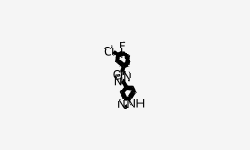 Fc1ccc(-c2nc(-c3ccc4[nH]cnc4c3)no2)cc1Cl